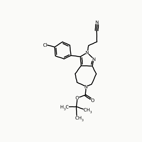 CC(C)(C)OC(=O)N1CCc2nn(CCC#N)c(-c3ccc(Cl)cc3)c2CC1